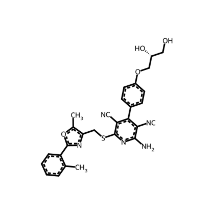 [C-]#[N+]c1c(N)nc(SCc2nc(-c3ccccc3C)oc2C)c(C#N)c1-c1ccc(OC[C@H](O)CO)cc1